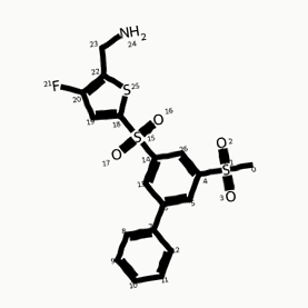 CS(=O)(=O)c1cc(-c2ccccc2)cc(S(=O)(=O)c2cc(F)c(CN)s2)c1